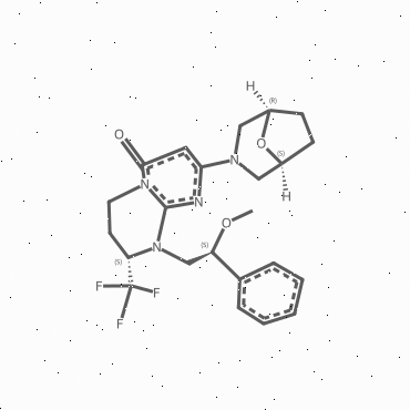 CO[C@H](CN1c2nc(N3C[C@H]4CC[C@@H](C3)O4)cc(=O)n2CC[C@H]1C(F)(F)F)c1ccccc1